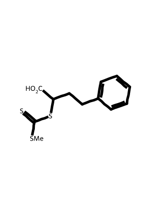 CSC(=S)SC(CCc1ccccc1)C(=O)O